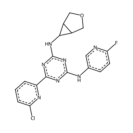 Fc1ccc(Nc2nc(NC3C4COCC43)nc(-c3cccc(Cl)n3)n2)cn1